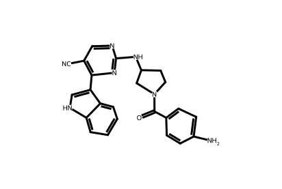 N#Cc1cnc(NC2CCN(C(=O)c3ccc(N)cc3)C2)nc1-c1c[nH]c2ccccc12